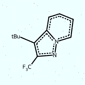 CC(C)(C)c1c(C(F)(F)F)nn2ccccc12